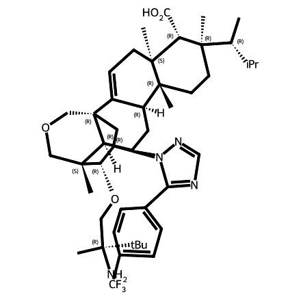 CC(C)[C@@H](C)[C@@]1(C)CC[C@]2(C)[C@H]3CC[C@@H]4[C@@]5(COC[C@@]4(C)[C@@H](OC[C@](C)(N)C(C)(C)C)[C@H](n4ncnc4-c4ccc(C(F)(F)F)cc4)C5)C3=CC[C@@]2(C)[C@@H]1C(=O)O